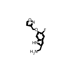 NCc1cc2cc(F)c(OCc3ccon3)cc2[nH]1